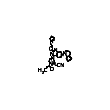 C=CC(=O)N1CCN(c2nc(OCCN3CCCC3)nc3c2CC[C@H](N2CCCc4ccccc42)C3)C[C@@H]1CC#N